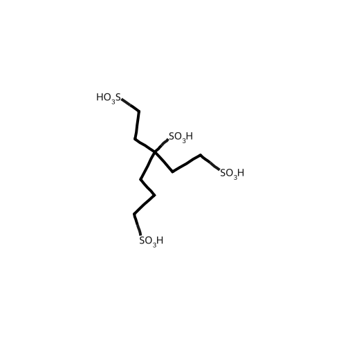 O=S(=O)(O)CCCC(CCS(=O)(=O)O)(CCS(=O)(=O)O)S(=O)(=O)O